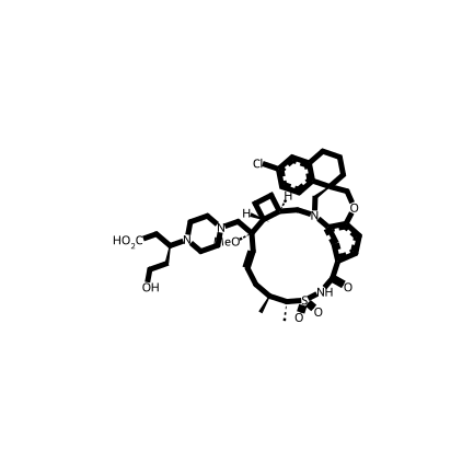 CO[C@@]1(CN2CCN([C@@H](CCO)CC(=O)O)CC2)/C=C/C[C@H](C)[C@@H](C)S(=O)(=O)NC(=O)c2ccc3c(c2)N(C[C@@H]2CC[C@H]21)C[C@@]1(CCCc2cc(Cl)ccc21)CO3